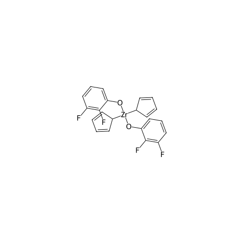 Fc1cccc([O][Zr]([O]c2cccc(F)c2F)([CH]2C=CC=C2)[CH]2C=CC=C2)c1F